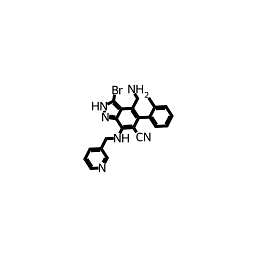 Cc1ccccc1-c1c(C#N)c(NCc2cccnc2)c2n[nH]c(Br)c2c1CN